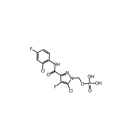 O=C(Nc1ccc(F)cc1Cl)c1nn(COP(=O)(O)O)c(Cl)c1F